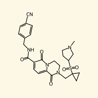 CN1CCC(S(=O)(=O)C2(CN3CCn4c(ccc(C(=O)NCc5ccc(C#N)cc5)c4=O)C3=O)CC2)C1